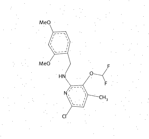 COc1ccc(CNc2nc(Cl)cc(C)c2OC(F)F)c(OC)c1